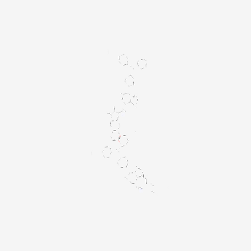 CCN1C(=O)/C(=N\c2cnc(-c3ccc(N(c4ccc(C)cc4)c4ccc(C)cc4-c4ccc5cc6/c(=N/c7cnc(-c8ccc(N(c9ccc(C)cc9)c9ccc(C)cc9)cc8)c8nsnc78)c(=O)c(=O)c6cc5c4)cc3)c3nsnc23)SC1=S